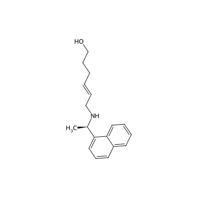 C[C@@H](NC/C=C/CCCO)c1cccc2ccccc12